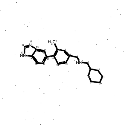 Cc1cc(CNCC2CCCCC2)ccc1-c1ccc2[nH]cnc2c1